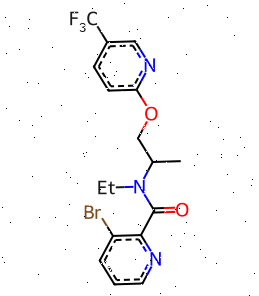 CCN(C(=O)c1ncccc1Br)C(C)COc1ccc(C(F)(F)F)cn1